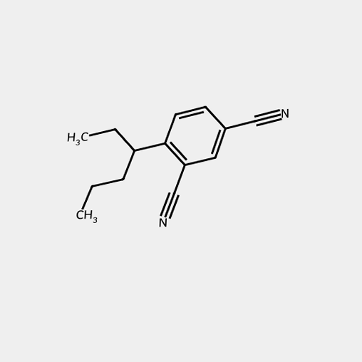 CCCC(CC)c1ccc(C#N)cc1C#N